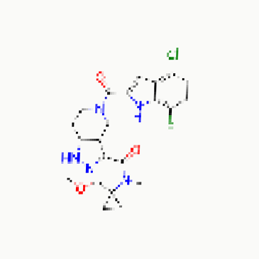 COCC1(N(C)C(=O)c2n[nH]c3c2CN(C(=O)c2cc4c(Cl)ccc(F)c4[nH]2)CC3)CC1